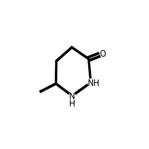 CC1CCC(=O)NN1